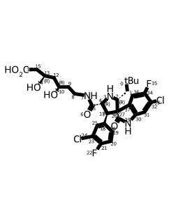 CC(C)(C)C[C@H]1N[C@@H](C(=O)NCC[C@@H](O)C[C@@H](O)CC(=O)O)[C@H](c2ccc(F)c(Cl)c2)[C@@]12C(=O)Nc1cc(Cl)c(F)cc12